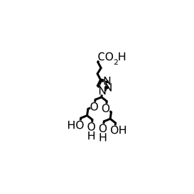 O=C(O)CCCc1cn(C(COCC(CO)CO)COCC(CO)CO)nn1